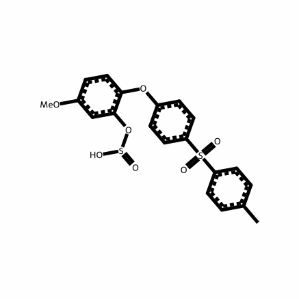 COc1ccc(Oc2ccc(S(=O)(=O)c3ccc(C)cc3)cc2)c(OS(=O)O)c1